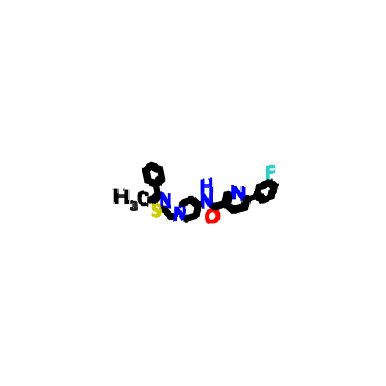 Cc1sc(CN2CCC(NC(=O)c3ccc(-c4cccc(F)c4)nc3)CC2)nc1-c1ccccc1